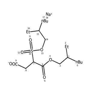 CCCCC(CC)COC(=O)C(CC(=O)[O-])S(=O)(=O)OCC(CC)CCCC.[Na+]